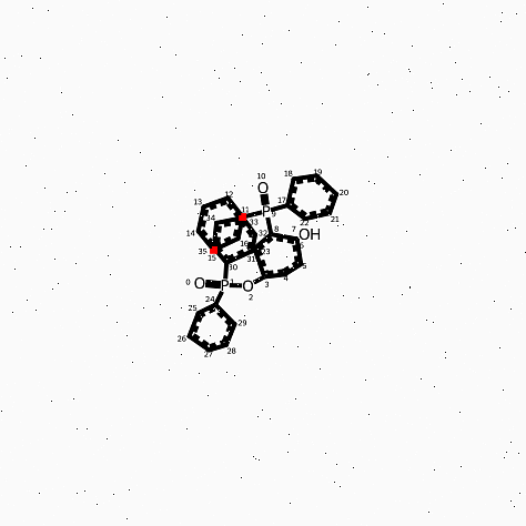 O=P(Oc1ccc(O)c(P(=O)(c2ccccc2)c2ccccc2)c1)(c1ccccc1)c1ccccc1